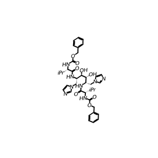 CC(C)[C@H](NC(=O)OCc1ccccc1)C(=O)N[C@@H](Cn1ccnc1)[C@@H](O)[C@H](O)[C@H](Cn1ccnc1)NC(=O)[C@@H](NC(=O)OCc1ccccc1)C(C)C